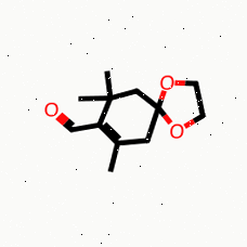 CC1=C(C=O)C(C)(C)CC2(C1)OCCO2